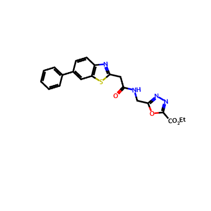 CCOC(=O)c1nnc(CNC(=O)Cc2nc3ccc(-c4ccccc4)cc3s2)o1